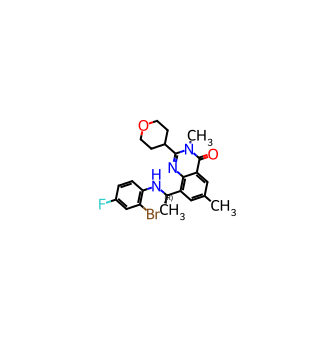 Cc1cc([C@@H](C)Nc2ccc(F)cc2Br)c2nc(C3CCOCC3)n(C)c(=O)c2c1